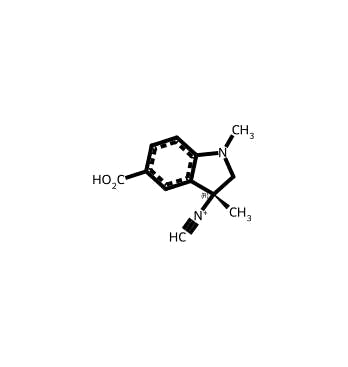 C#[N+][C@@]1(C)CN(C)c2ccc(C(=O)O)cc21